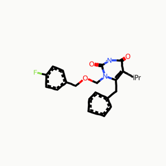 CC(C)C1=C(Cc2ccccc2)N(COCc2ccc(F)cc2)C(=O)[N]C1=O